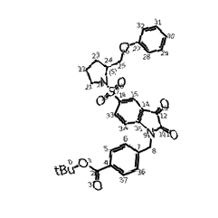 CC(C)(C)OC(=O)c1ccc(CN2C(=O)C(=O)c3cc(S(=O)(=O)N4CCC[C@H]4COc4ccccc4)ccc32)cc1